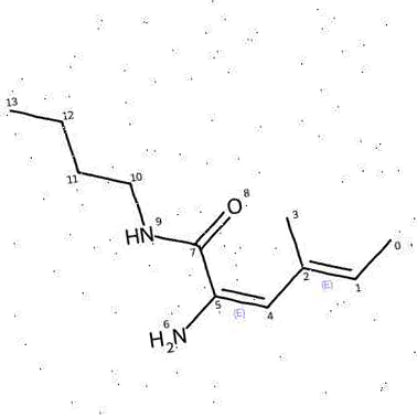 C/C=C(C)/C=C(/N)C(=O)NCCCC